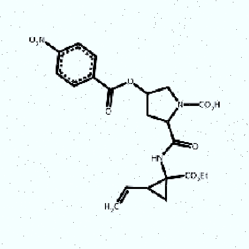 C=CC1CC1(NC(=O)C1CC(OC(=O)c2ccc([N+](=O)[O-])cc2)CN1C(=O)O)C(=O)OCC